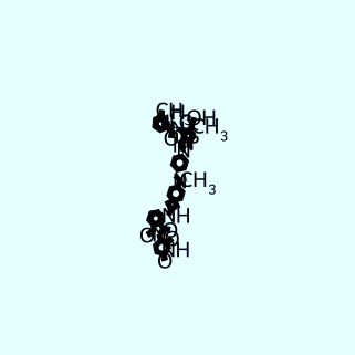 Cc1cccc(C(=O)Nc2c(C(C)(C)O)sc3cn([C@H]4CC[C@H](CN(C)C5CCC6(CC5)CC(Nc5cccc7c5C(=O)N(C5CCC(=O)NC5=O)C7=O)C6)CC4)nc23)n1